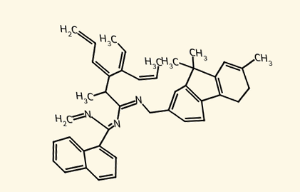 C=C\C=C(C(/C=C\C)=C\C)\C(C)C(/N=C(\N=C)c1cccc2ccccc12)=N/Cc1ccc2c(c1)C(C)(C)C1=C2CCC(C)=C1